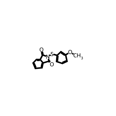 COc1cccc(SN2C(=O)c3ccccc3C2=O)c1